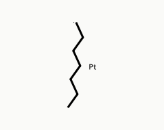 [CH2]CCCCCC.[Pt]